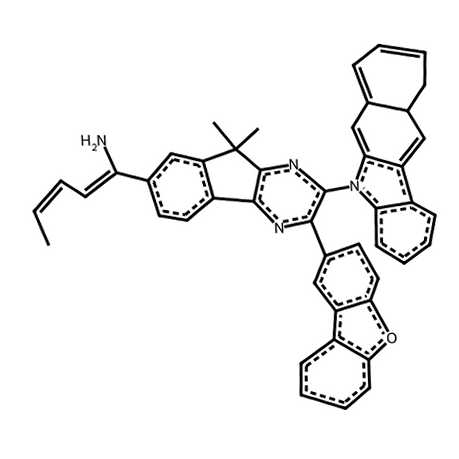 C/C=C\C=C(/N)c1ccc2c(c1)C(C)(C)c1nc(-n3c4c(c5ccccc53)=CC3CC=CC=C3C=4)c(-c3ccc4oc5ccccc5c4c3)nc1-2